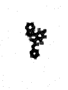 CCC1=C(C(=O)NCc2ccccc2)C(c2scc3c2OCCO3)NC(=O)N1